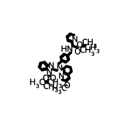 COc1cnc2c(c1)CCCC2N(Cc1ccc(CNC(C(=O)OC(C)(C)C)c2ccccn2)cc1)Cc1nc2ccccc2n1C(=O)OC(C)(C)C